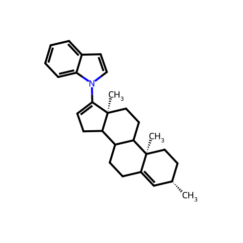 C[C@@H]1C=C2CCC3C(CC[C@]4(C)C(n5ccc6ccccc65)=CCC34)[C@@]2(C)CC1